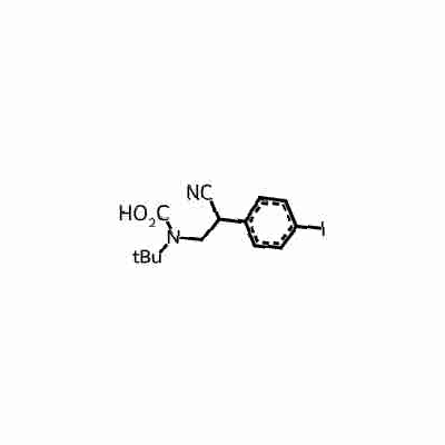 CC(C)(C)N(CC(C#N)c1ccc(I)cc1)C(=O)O